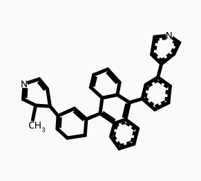 CC1C=NC=CC1C1=CCCC(C2=c3ccccc3=C(c3cccc(-c4ccncc4)c3)C3C=CC=CC23)=C1